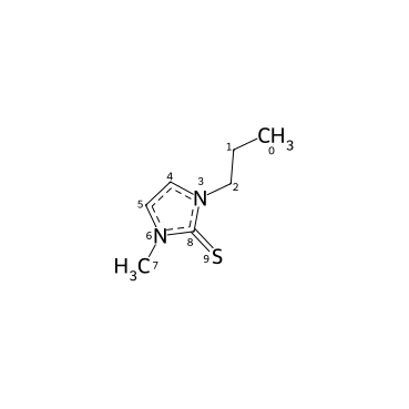 CCCn1ccn(C)c1=S